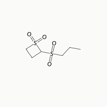 CCCS(=O)(=O)C1CCS1(=O)=O